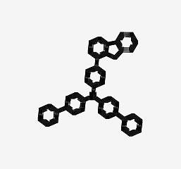 c1ccc(-c2ccc(N(c3ccc(-c4ccccc4)cc3)c3ccc(-c4cccc5c4Cc4ccccc4-5)cc3)cc2)cc1